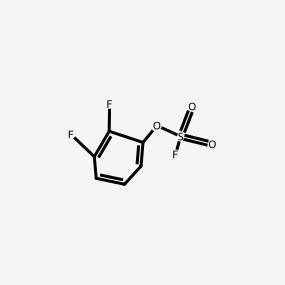 O=S(=O)(F)Oc1cccc(F)c1F